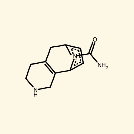 NC(=O)n1c2ccc1C1=C(CCNC1)C2